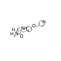 CC(N)(Cc1ccc(OCc2ccncc2)cc1)C(N)=O